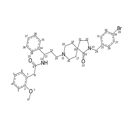 COc1ccccc1CC(=O)NC(CCN1CCC2(CC1)CCN(Cc1ccc(Br)cc1)C2=O)c1ccccc1